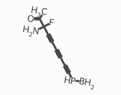 BPC#CC#CC#CC(N)(F)C(C)=O